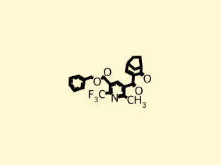 Cc1nc(C(F)(F)F)c(C(=O)OCc2ccccc2)cc1C(=O)C1=CC2CCC(C2)C1=O